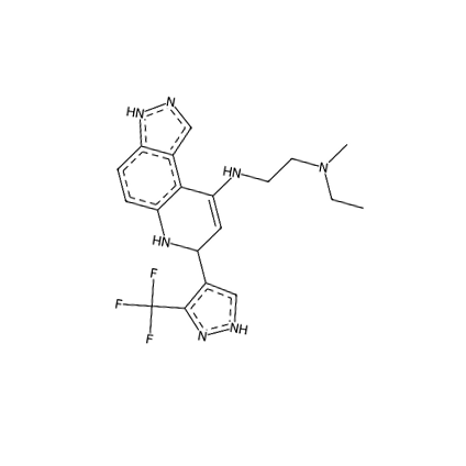 CCN(C)CCNC1=CC(c2c[nH]nc2C(F)(F)F)Nc2ccc3[nH]ncc3c21